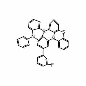 Fc1cccc(-c2cc3c4c(c2)N2c5ccccc5Sc5cccc(c52)B4c2ccccc2N3c2ccccc2)c1